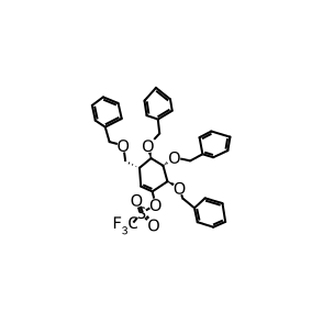 O=S(=O)(OC1=C[C@H](COCc2ccccc2)[C@@H](OCc2ccccc2)[C@H](OCc2ccccc2)[C@H]1OCc1ccccc1)C(F)(F)F